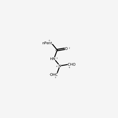 CCCCCC(=O)NN([C]=O)C=O